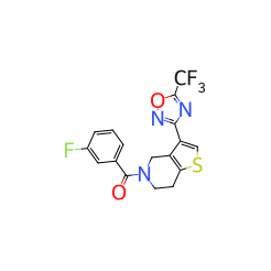 O=C(c1cccc(F)c1)N1CCc2scc(-c3noc(C(F)(F)F)n3)c2C1